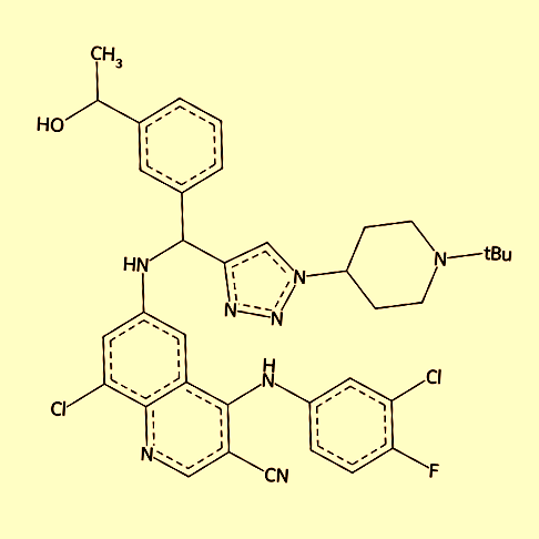 CC(O)c1cccc(C(Nc2cc(Cl)c3ncc(C#N)c(Nc4ccc(F)c(Cl)c4)c3c2)c2cn(C3CCN(C(C)(C)C)CC3)nn2)c1